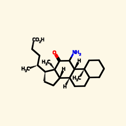 C[C@H](CCC(=O)O)[C@H]1CC[C@H]2[C@@H]3CCC4CCCC[C@]4(C)[C@H]3C(N)C(=O)[C@]12C